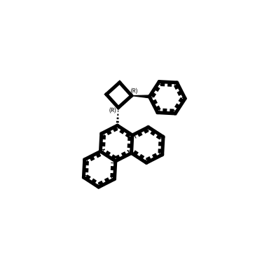 c1ccc([C@@H]2CC[C@H]2c2cc3ccccc3c3ccccc23)cc1